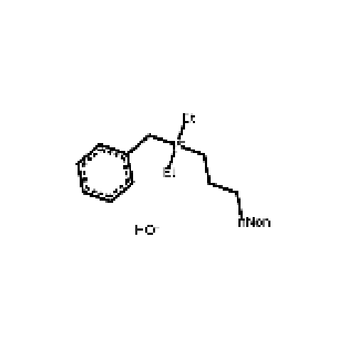 CCCCCCCCCCCC[P+](CC)(CC)Cc1ccccc1.[OH-]